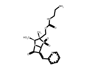 C[C@]1(COC(=O)NCCN)[C@H](C(=O)O)N2C(=O)/C(=C/c3ccccn3)C2S1(=O)=O